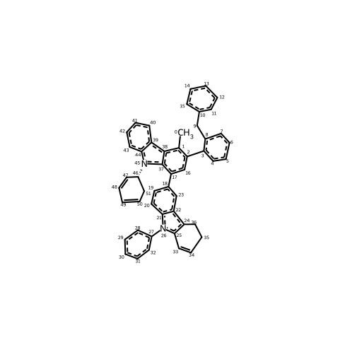 Cc1c(-c2ccccc2Cc2ccccc2)cc(-c2ccc3c(c2)c2c(n3-c3ccccc3)C=CCC2)c2c1c1ccccc1n2[C@H]1C=CC=CC1